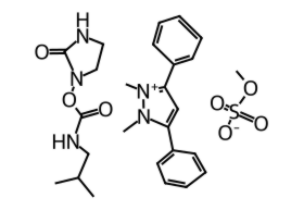 CC(C)CNC(=O)ON1CCNC1=O.COS(=O)(=O)[O-].Cn1c(-c2ccccc2)cc(-c2ccccc2)[n+]1C